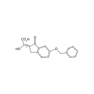 O=C(O)/C(O)=C1/Cc2ccc(OCc3ccccc3)cc2C1=O